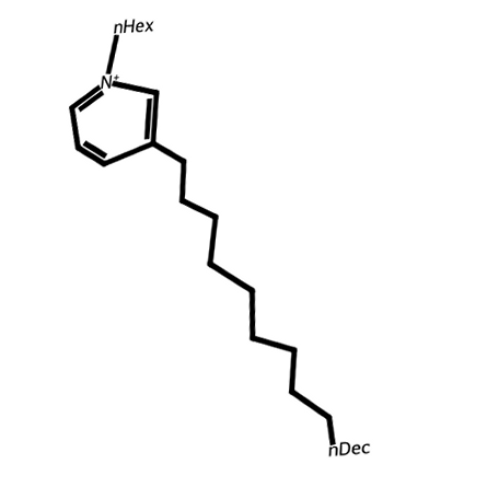 CCCCCCCCCCCCCCCCCCCc1ccc[n+](CCCCCC)c1